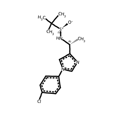 C[C@@H](N[S@+]([O-])C(C)(C)C)c1cn(-c2ccc(Cl)cc2)cn1